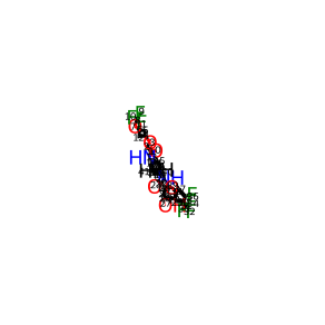 O=C(COC1CC(OC(F)(F)F)C1)N[C@@H]1C[C@@H]2C[C@H]1C[C@H]2NC(=O)[C@H]1C[C@@H](O)c2cc(C(F)(F)F)c(F)cc2O1